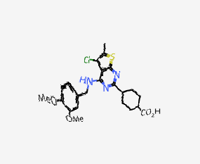 COc1ccc(CNc2nc(C3CCC(C(=O)O)CC3)nc3sc(C)c(Cl)c23)cc1OC